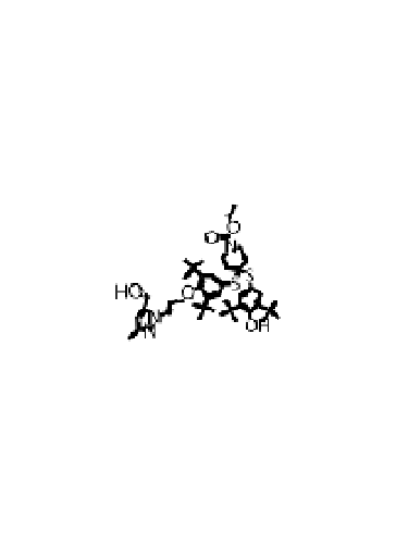 CCOC(=O)N1CCC(Sc2cc(C(C)(C)C)c(O)c(C(C)(C)C)c2)(Sc2cc(C(C)(C)C)c(OCCCn3nc(C)cc3CO)c(C(C)(C)C)c2)CC1